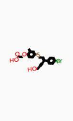 Cc1cc(SC/C=C(\C#CCO)c2ccc(Br)cc2)ccc1OCC(=O)O